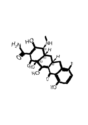 CN[C@@H]1C(O)=C(C(N)=O)C(=O)[C@@]2(O)C(O)=C3C(=O)c4c(O)ccc(F)c4C[C@H]3C[C@@H]12